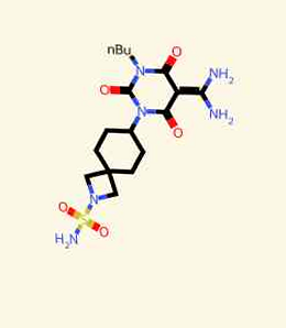 CCCCN1C(=O)C(=C(N)N)C(=O)N(C2CCC3(CC2)CN(S(N)(=O)=O)C3)C1=O